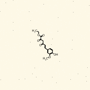 CCOC(=O)C(=O)CC(=O)/C=C/c1ccc(O)c(OC)c1